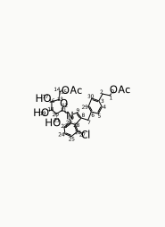 CC(=O)OCCc1ccc(Cc2cn([C@@H]3O[C@H](COC(C)=O)[C@@H](O)[C@H](O)[C@H]3O)c3cccc(Cl)c23)cc1